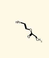 C=CC(=O)OC=CCCC